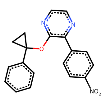 O=[N+]([O-])c1ccc(-c2nccnc2OC2(c3ccccc3)CC2)cc1